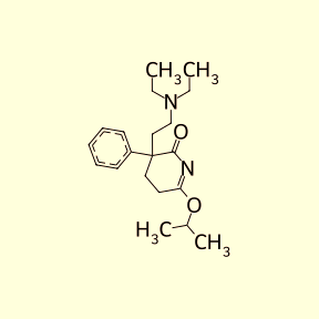 CCN(CC)CCC1(c2ccccc2)CCC(OC(C)C)=NC1=O